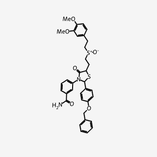 COc1ccc(CC[S+]([O-])CCC2SC(c3ccc(OCc4ccccc4)cc3)N(c3cccc(C(N)=O)c3)C2=O)cc1OC